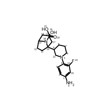 Nc1ccc(N2CCCC(C34CCC(CC(O)C3)N4C(=O)O)C2)c(F)c1